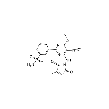 [C-]#[N+]c1c(NN2C(=O)C=C(C)C2=O)nc(-c2cccc(S(N)(=O)=O)c2)nc1SC